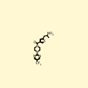 CC(Cc1cc(C(=O)N2CCN(c3ncc(C(F)(F)F)cn3)CC2)cs1)[N+](=O)[O-]